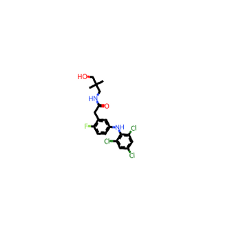 CC(C)(CO)CNC(=O)Cc1cc(Nc2c(Cl)cc(Cl)cc2Cl)ccc1F